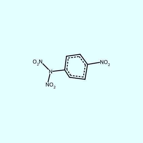 O=[N+]([O-])c1ccc(N([N+](=O)[O-])[N+](=O)[O-])cc1